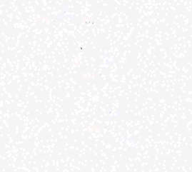 COC(C)C(NC(=O)C[C@H](NC(=O)c1cccc(F)n1)c1ccccc1)C(=O)[C@@H]1C(=O)NC(=O)[C@H]1C